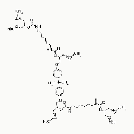 CCCCOCC(CN1CC1C)OC(=O)NCCCCCCNC(=O)OC(COc1ccc(C(C)(C)c2ccc(OCC(CN3CC3C)OC(=O)NCCCCCCNC(=O)OC(COCCCC)CN3CC3C)cc2)cc1)CN1CC1C